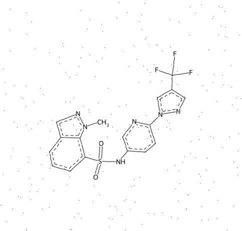 Cn1ncc2cccc(S(=O)(=O)Nc3ccc(-n4cc(C(F)(F)F)cn4)nc3)c21